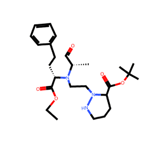 CCOC(=O)[C@H](CCc1ccccc1)N(CCN1NCCCC1C(=O)OC(C)(C)C)[C@@H](C)C=O